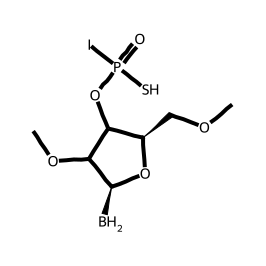 B[C@@H]1O[C@H](COC)C(OP(=O)(S)I)C1OC